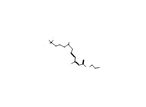 CCC(C)CCOC(=O)C=C(C)C=CCC(C)CCCC(C)(C)OC